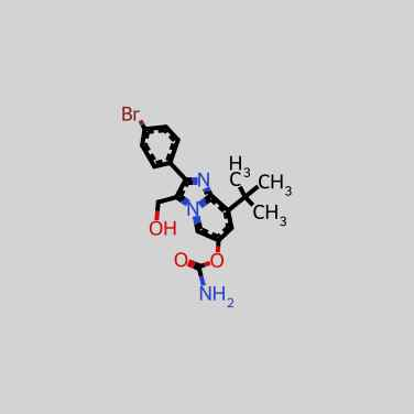 CC(C)(C)c1cc(OC(N)=O)cn2c(CO)c(-c3ccc(Br)cc3)nc12